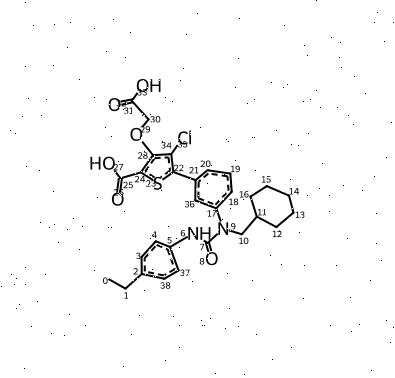 CCc1ccc(NC(=O)N(CC2CCCCC2)c2cccc(-c3sc(C(=O)O)c(OCC(=O)O)c3Cl)c2)cc1